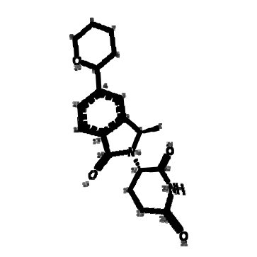 C[C@@H]1c2cc(C3CCCCO3)ccc2C(=O)N1[C@H]1CCC(=O)NC1=O